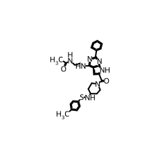 CC(=O)NCCNc1nc(-c2ccccc2)nc2[nH]c(C(=O)N3CCC(NSc4ccc(C)cc4)CC3)cc12